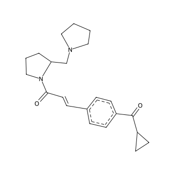 O=C(c1ccc(C=CC(=O)N2CCCC2CN2CCCC2)cc1)C1CC1